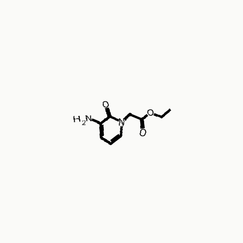 CCOC(=O)Cn1cccc(N)c1=O